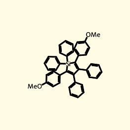 COc1ccc(C2=C(c3ccccc3)C(c3ccccc3)=C(c3ccc(OC)cc3)[Si]2(c2ccccc2)c2ccccc2)cc1